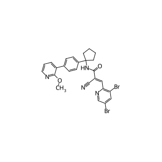 COc1ncccc1-c1ccc(C2(NC(=O)C(C#N)=Cc3ncc(Br)cc3Br)CCCC2)cc1